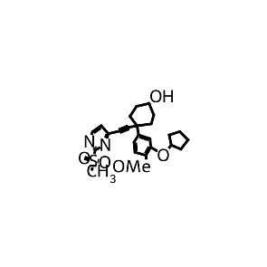 COc1ccc(C2(C#Cc3ccnc(S(C)(=O)=O)n3)CCC(O)CC2)cc1OC1CCCC1